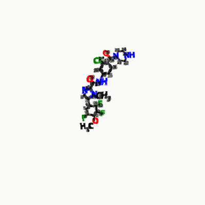 COc1c(F)cc(-c2cnc(C(=O)Nc3ccc(C(=O)N4CCNCC4)c(Cl)c3)n2C)c(F)c1F